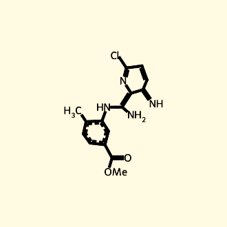 COC(=O)c1ccc(C)c(N/C(N)=C2\N=C(Cl)C=CC2=N)c1